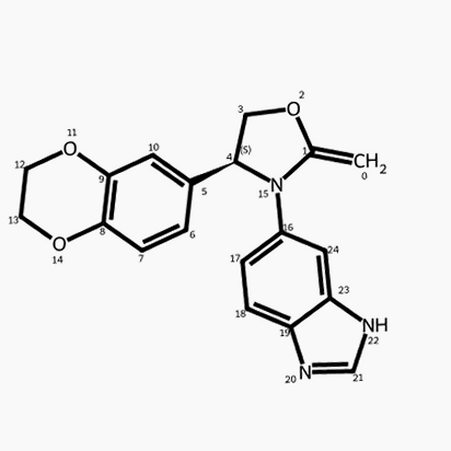 C=C1OC[C@H](c2ccc3c(c2)OCCO3)N1c1ccc2nc[nH]c2c1